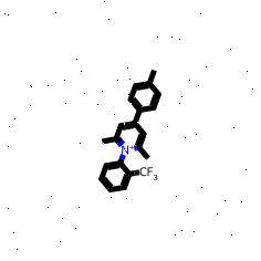 Cc1ccc(-c2cc(C)[n+](-c3ccccc3C(F)(F)F)c(C)c2)cc1